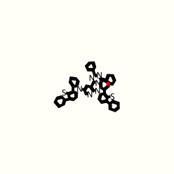 c1ccc(-c2nc(-c3ccccc3)nc(-c3cc(-n4c5ccccc5c5c6sc7ccccc7c6ccc54)cnc3-n3c4ccccc4c4c5sc6ccccc6c5ccc43)n2)cc1